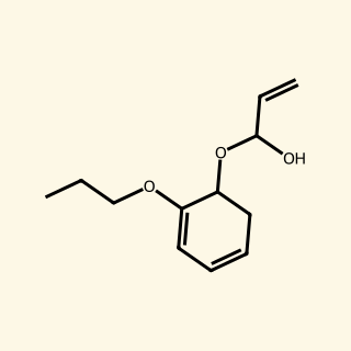 C=CC(O)OC1CC=CC=C1OCCC